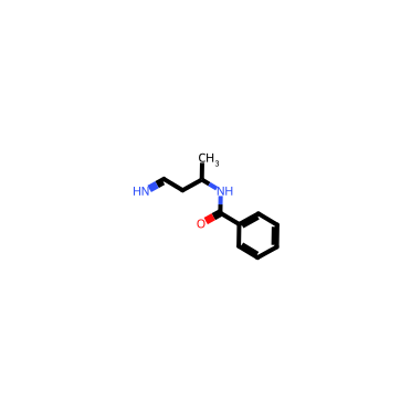 CC(CC=N)NC(=O)c1ccccc1